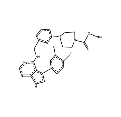 CC(C)(C)OC(=O)N1CCN(c2cccc(CNc3ncnc4[nH]cc(-c5ccc(F)c(F)c5)c34)n2)CC1